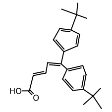 CC(C)(C)c1ccc(C(=C/C=C/C(=O)O)c2ccc(C(C)(C)C)cc2)cc1